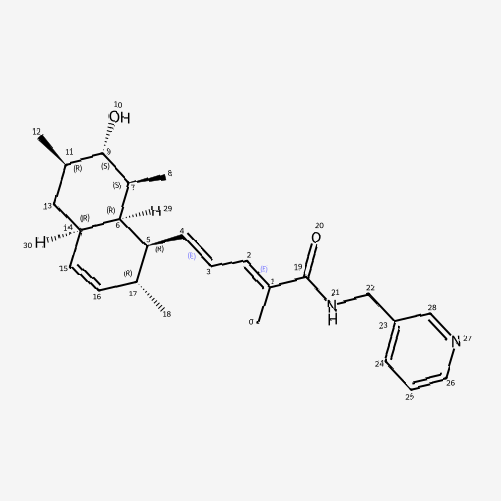 C/C(=C\C=C\[C@@H]1[C@@H]2[C@H](C)[C@@H](O)[C@H](C)C[C@@H]2C=C[C@H]1C)C(=O)NCc1cccnc1